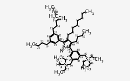 CCCCCCCCC1=C(c2cc(CCCC)cc(CCCC)c2)[N+](=[N-])C(c2cc(C[Si](CC)(CC)CC)cc(C[Si](CC)(CC)CC)c2)=C1CCCC.[CH3][Ni][CH3]